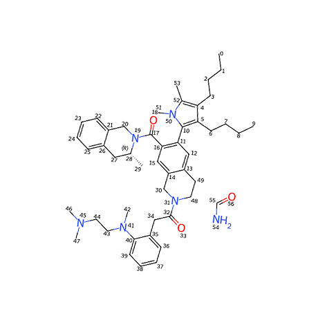 CCCCc1c(CCCC)c(-c2cc3c(cc2C(=O)N2Cc4ccccc4C[C@H]2C)CN(C(=O)Cc2ccccc2N(C)CCN(C)C)CC3)n(C)c1C.NC=O